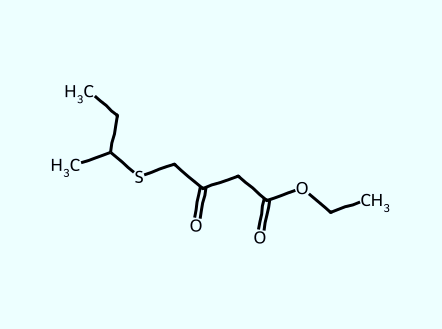 CCOC(=O)CC(=O)CSC(C)CC